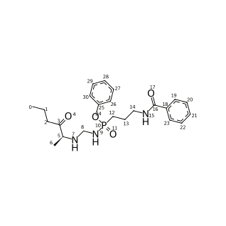 CCCC(=O)[C@H](C)NCNP(=O)(CCCNC(=O)c1ccccc1)Oc1ccccc1